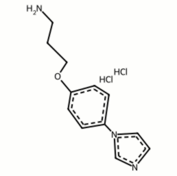 Cl.Cl.NCCCOc1ccc(-n2ccnc2)cc1